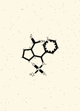 CS(=O)(=O)OC(c1cccnc1)C1CCCC1C(=O)O